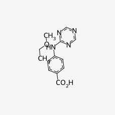 CCOC.O=C(O)c1ccc(Nc2ncncn2)cc1